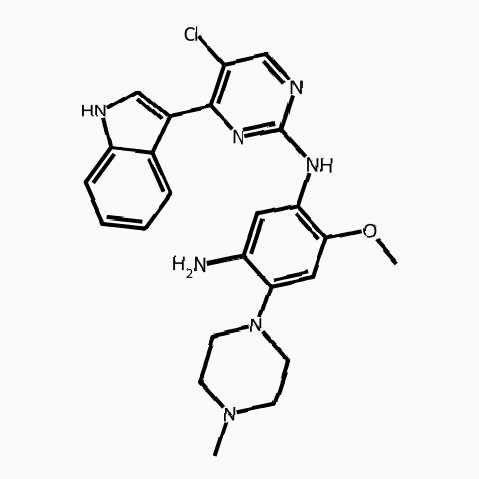 COc1cc(N2CCN(C)CC2)c(N)cc1Nc1ncc(Cl)c(-c2c[nH]c3ccccc23)n1